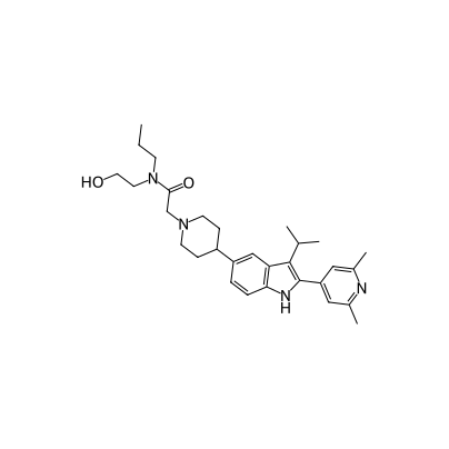 CCCN(CCO)C(=O)CN1CCC(c2ccc3[nH]c(-c4cc(C)nc(C)c4)c(C(C)C)c3c2)CC1